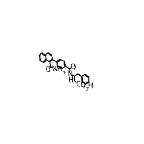 NC(=O)c1c(-c2ccc(C(=O)NC(CC(=O)O)Cc3ccccc3)cc2)ccc2ccccc12